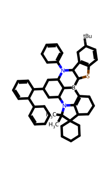 CC(C)(C)C1C=CC2=C(C1)C1C(S2)B2C3=C4C(CCC3)C3(CCCCC3)C(C)(C)N4C3CC(C4C=CC=CC4C4C=CCCC4)CC(C23)N1C1=CC=CCC1